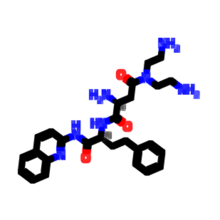 NCCN(CCN)C(=O)C[C@H](N)C(=O)N[C@@H](CCc1ccccc1)C(=O)Nc1ccc2ccccc2n1